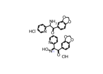 Cl.Cl.NC(C(=O)c1ccc2c(c1)OCO2)c1ccccn1.O=C(/C(=N/O)c1ccccn1)c1ccc2c(c1)OCO2